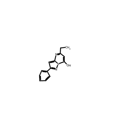 CCc1cc(O)n2nc(-c3ccccc3)cc2n1